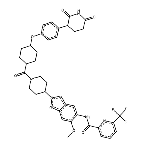 COc1cc2nn(C3CCN(C(=O)C4CCC(Oc5ccc(C6CCC(=O)NC6=O)cc5)CC4)CC3)cc2cc1NC(=O)c1cccc(C(F)(F)F)n1